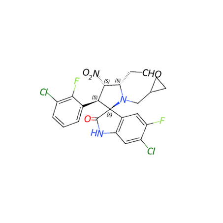 O=CC[C@H]1[C@@H]([N+](=O)[O-])[C@H](c2cccc(Cl)c2F)[C@]2(C(=O)Nc3cc(Cl)c(F)cc32)N1CC1CC1